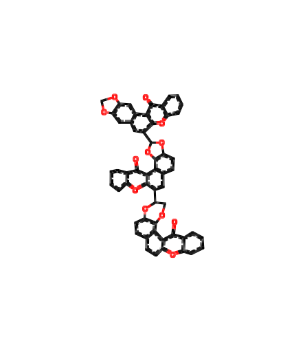 O=c1c2ccccc2oc2c(C3Oc4ccc5cc(C6COc7c(ccc8ccc9oc%10ccccc%10c(=O)c9c78)O6)c6oc7ccccc7c(=O)c6c5c4O3)cc3cc4c(cc3c12)OCO4